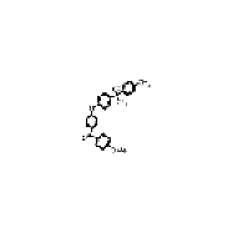 COc1ccc(C(=O)c2ccc(Oc3ccc(C(c4ccc(C)cc4)(C(F)(F)F)C(F)(F)F)cc3)cc2)cc1